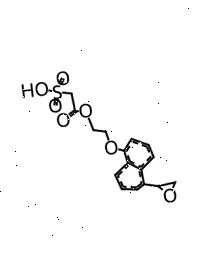 O=C(CS(=O)(=O)O)OCCOc1cccc2c(C3CO3)cccc12